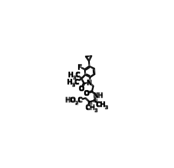 C[C@H](NC(=O)CN1C(=O)C(C)(C)c2c1ccc(C1CC1)c2F)[C@@H](C)CC(=O)O